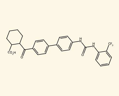 O=C(Nc1ccc(-c2ccc(C(=O)C3CCCCC3C(=O)O)cc2)cc1)Nc1ccccc1C(F)(F)F